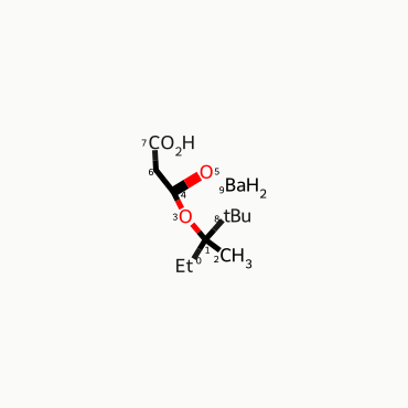 CCC(C)(OC(=O)CC(=O)O)C(C)(C)C.[BaH2]